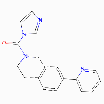 O=C(N1CCc2ccc(-c3ccccn3)cc2C1)n1ccnc1